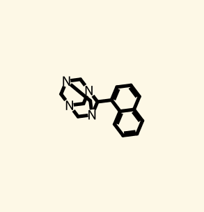 c1ccc2c(C3N4CN5CN(C4)CN3C5)cccc2c1